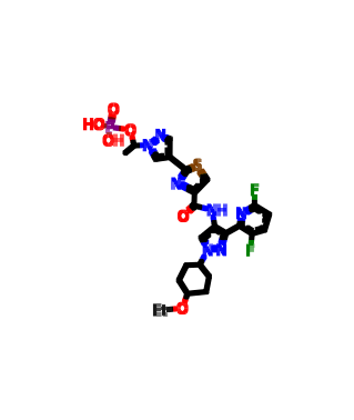 CCOC1CCC(n2cc(NC(=O)c3csc(-c4cnn(C(C)OP(=O)(O)O)c4)n3)c(-c3nc(F)ccc3F)n2)CC1